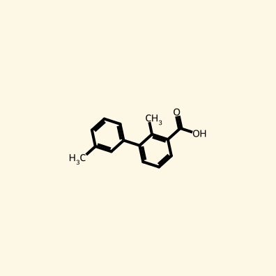 Cc1cccc(-c2cccc(C(=O)O)c2C)c1